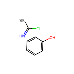 CCCCC(=N)Cl.Oc1ccccc1